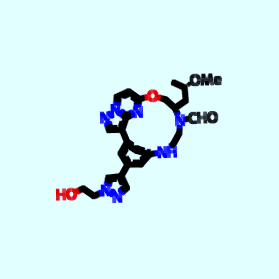 CO[C@@H](C)CC1COc2ccn3ncc(c3n2)-c2cc(cc(-c3cnn(CCO)c3)c2)NCCN1C=O